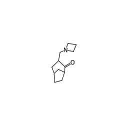 O=C1C2CCC(C2)CC1CN1CCC1